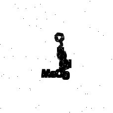 COC(=O)c1cnc(N2CCN(CCc3ccccc3)CC2)s1